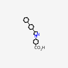 O=C(O)c1ccc(-n2cc(-c3ccc(-c4ccccc4)cc3)cn2)cc1